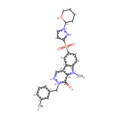 Cn1c2ccc(S(=O)(=O)c3ccn(C4CCCCO4)n3)cc2c2cnn(Cc3cccc(C#N)c3)c(=O)c21